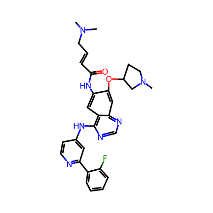 CN(C)CC=CC(=O)Nc1cc2c(Nc3ccnc(-c4ccccc4F)c3)ncnc2cc1OC1CCN(C)C1